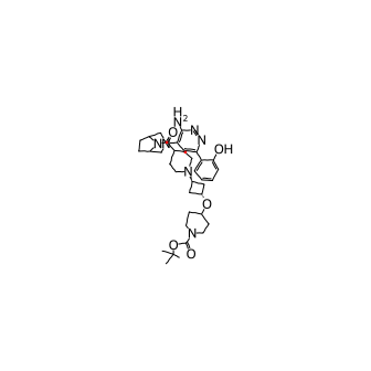 CC(C)(C)OC(=O)N1CCC(O[C@H]2C[C@H](N3CCC(C(=O)N4C5CCC4CN(c4cc(-c6ccccc6O)nnc4N)C5)CC3)C2)CC1